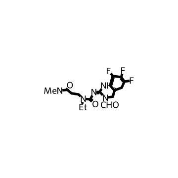 CCN(CCC(=O)NC)C(=O)/N=C(/N)N(C=O)CC1C=C(F)C(F)=C(F)C1